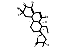 [2H]C1=CC2=C([2H])C(=O)C([2H])([2H])C[C@]2(C)C2CC[C@@]3(C)C(CC[C@@]34CC([2H])([2H])C(=O)O4)[C@H]12